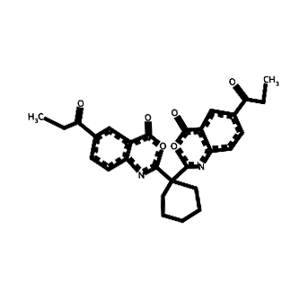 CCC(=O)c1ccc2nc(C3(c4nc5ccc(C(=O)CC)cc5c(=O)o4)CCCCC3)oc(=O)c2c1